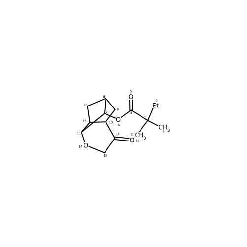 CCC(C)(C)C(=O)OC1C2CC3C(=O)COC1C3C2